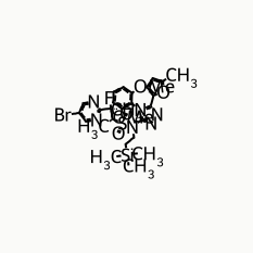 COc1cccc(OC)c1-n1c(-c2ccc(C)o2)nnc1N(CC[Si](C)(C)C)S(=O)(=O)[C@@H](C)[C@](C)(F)c1ncc(Br)cn1